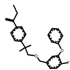 C=C(CC)c1ccc(C(C)(C)COCc2ccc(F)c(Oc3ccccc3)c2)cc1